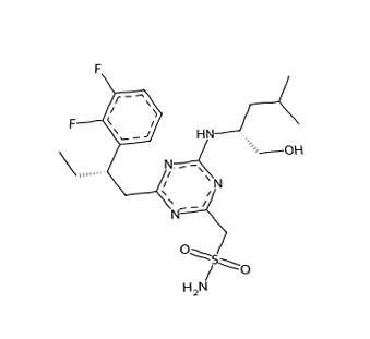 CC[C@@H](Cc1nc(CS(N)(=O)=O)nc(N[C@@H](CO)CC(C)C)n1)c1cccc(F)c1F